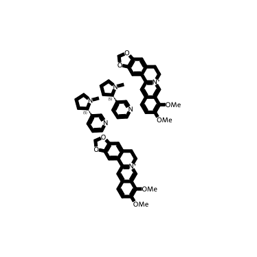 CN1CCC[C@H]1c1cccnc1.CN1CCC[C@H]1c1cccnc1.COc1ccc2cc3[n+](cc2c1OC)CCc1cc2c(cc1-3)OCO2.COc1ccc2cc3[n+](cc2c1OC)CCc1cc2c(cc1-3)OCO2